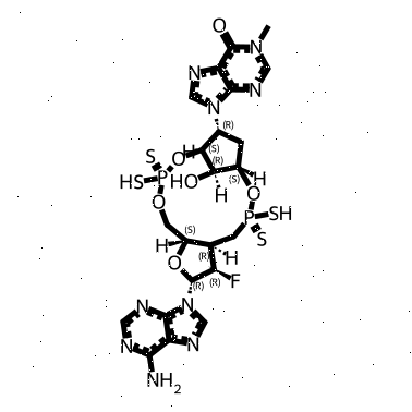 Cn1cnc2c(ncn2[C@@H]2C[C@@H]3OP(=S)(S)C[C@H]4[C@@H](F)[C@H](n5cnc6c(N)ncnc65)O[C@@H]4COP(=S)(S)O[C@@H]2[C@@H]3O)c1=O